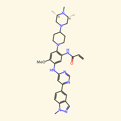 C=CC(=O)Nc1cc(Nc2cc(-c3ccc4c(cnn4C)c3)ncn2)c(OC)cc1N1CCC(N2C[C@@H](C)N(C)[C@@H](C)C2)CC1